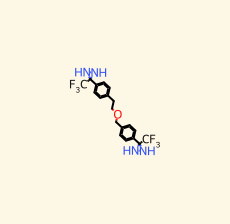 FC(F)(F)C1(c2ccc(CCOCc3ccc(C4(C(F)(F)F)NN4)cc3)cc2)NN1